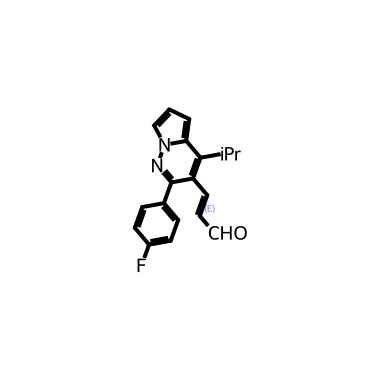 CC(C)c1c(/C=C/C=O)c(-c2ccc(F)cc2)nn2cccc12